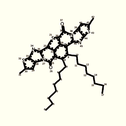 CCCCCCCCc1c(CCCCCCCC)c2c3c(sc4c3c1c(=O)n1c3cc(C)sc3nc41)c(=O)n1c3cc(C)sc3nc21